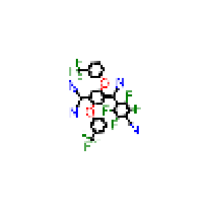 N#CC(C#N)=c1cc(Oc2cccc(C(F)(F)F)c2)/c(=C(\C#N)c2c(F)c(F)c(C#N)c(F)c2F)cc1Oc1cccc(C(F)(F)F)c1